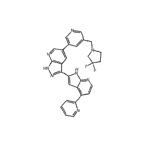 FC1(F)CCN(Cc2cncc(-c3cnc4[nH]nc(-c5cc6c(-c7ccccn7)ccnc6[nH]5)c4c3)c2)C1